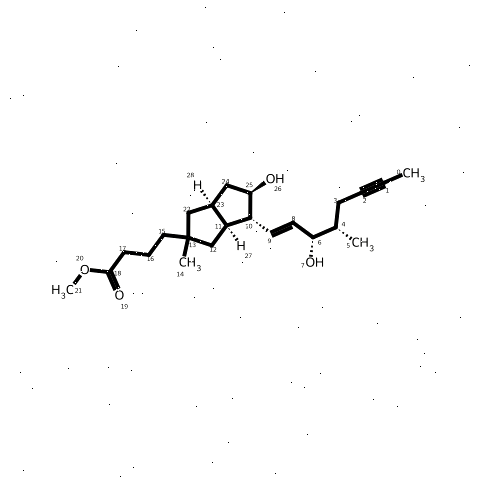 CC#CC[C@H](C)[C@H](O)/C=C/[C@@H]1[C@H]2CC(C)(CCCC(=O)OC)C[C@H]2C[C@H]1O